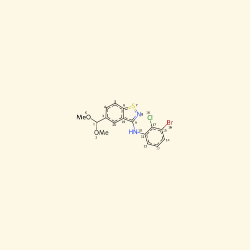 COC(OC)c1ccc2snc(Nc3cccc(Br)c3Cl)c2c1